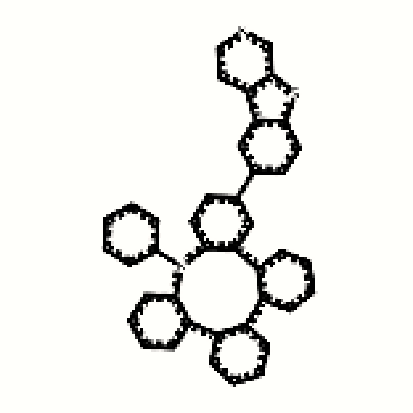 c1ccc(-n2c3ccccc3c3ccccc3c3ccccc3c3cc(-c4ccc5sc6cnccc6c5c4)ccc32)cc1